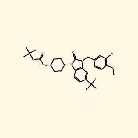 COc1ccc(Cn2c(=O)n([C@H]3CC[C@H](NC(=O)OC(C)(C)C)CC3)c3ccc(C(F)(F)F)cc32)cc1Cl